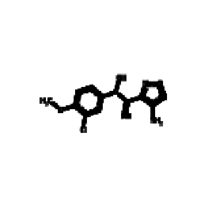 COc1ccc(N(O)C(=N)c2nonc2N)cc1Cl